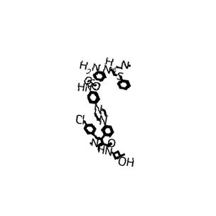 Cc1c(C(=O)NC2CC(C)(O)C2)c(-c2cccc(N3CCN(c4ccc(NS(=O)(=O)c5ccc(N[C@H](CCN(C)C)CSc6ccccc6)c(N)c5)cc4)CC3)c2)c(-c2ccc(Cl)cc2)n1C